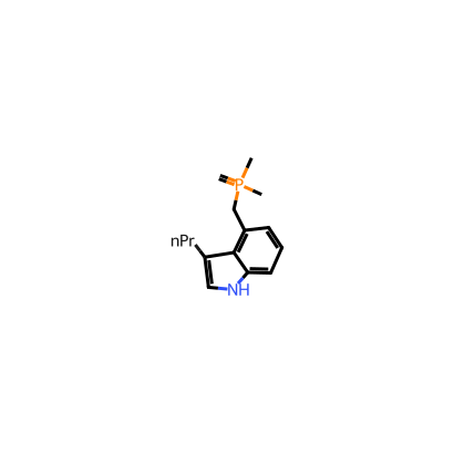 C=P(C)(C)Cc1cccc2[nH]cc(CCC)c12